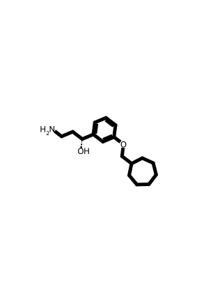 NCC[C@@H](O)c1cccc(OCC2CCCCCC2)c1